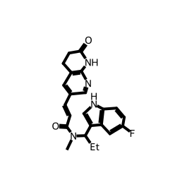 CCC(c1c[nH]c2ccc(F)cc12)N(C)C(=O)/C=C/c1cnc2c(c1)CCC(=O)N2